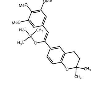 COc1cc(C=C(O[Si](C)(C)C)c2ccc3c(c2)CCC(C)(C)O3)cc(OC)c1OC